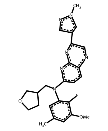 COc1cc(C)cc(N(CC2CCOC2)c2ccc3ncc(-c4cnn(C)c4)nc3n2)c1F